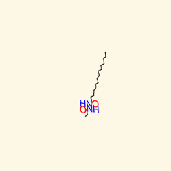 CCCCCCCCCCCCCCCC(=O)NNC(=O)CC